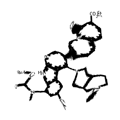 CCOC(=O)c1ccc2ccc(-c3cnc4[nH]c5c(N(C)C(=O)OC(C)(C)C)cc(F)cc5c4c3N3CC4CCN(C)C4C3)cn2c1=O